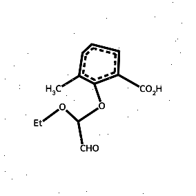 CCOC(C=O)Oc1c(C)cccc1C(=O)O